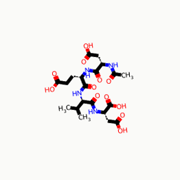 CC(=O)N[C@@H](CC(=O)O)C(=O)N[C@@H](CCC(=O)O)C(=O)N[C@H](C(=O)N[C@@H](CC(=O)O)C(=O)O)C(C)C